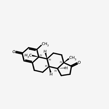 CC1=CC(=O)C=C2CC[C@@H]3[C@@H](CC[C@]4(C)C(=O)CC[C@@H]34)[C@@]12C